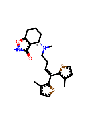 Cc1ccsc1C(=CCCN(C)[C@H]1CCCc2o[nH]c(=O)c21)c1sccc1C